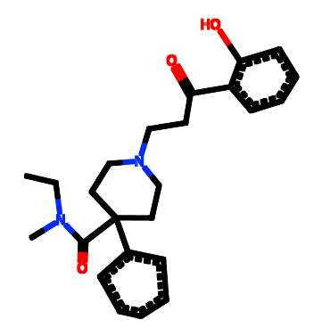 CCN(C)C(=O)C1(c2ccccc2)CCN(CCC(=O)c2ccccc2O)CC1